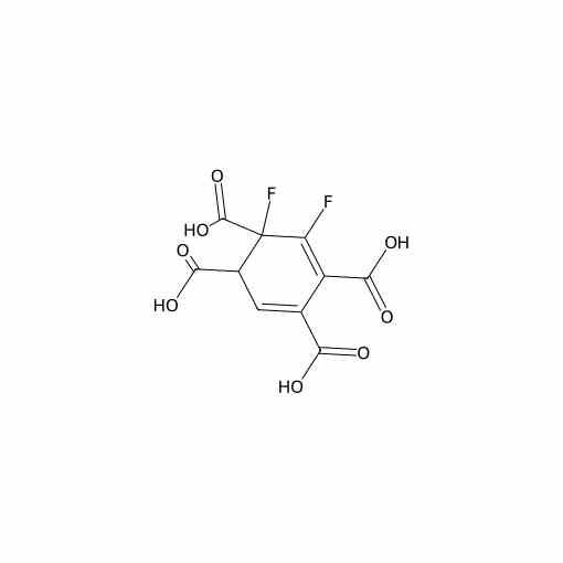 O=C(O)C1=CC(C(=O)O)C(F)(C(=O)O)C(F)=C1C(=O)O